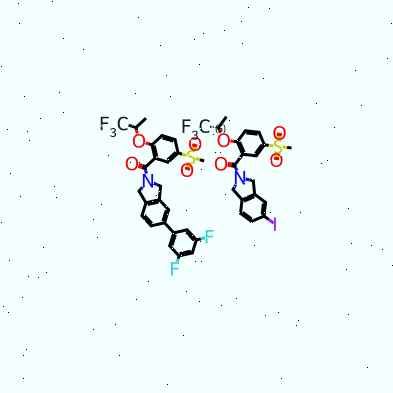 CC(Oc1ccc(S(C)(=O)=O)cc1C(=O)N1Cc2ccc(-c3cc(F)cc(F)c3)cc2C1)C(F)(F)F.C[C@H](Oc1ccc(S(C)(=O)=O)cc1C(=O)N1Cc2ccc(I)cc2C1)C(F)(F)F